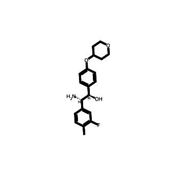 Cc1ccc([C@H](N)[C@H](O)c2ccc(OC3CCOCC3)cc2)cc1F